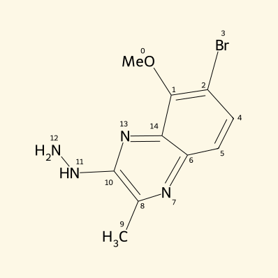 COc1c(Br)ccc2nc(C)c(NN)nc12